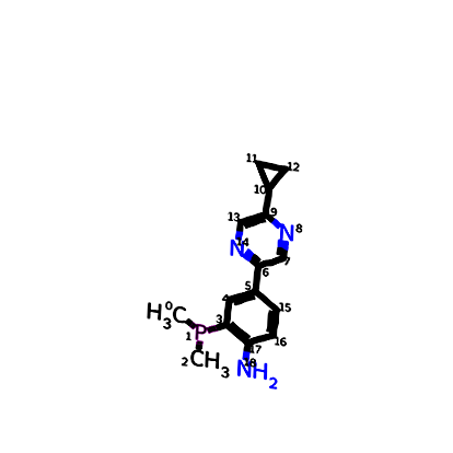 CP(C)c1cc(-c2cnc(C3CC3)cn2)ccc1N